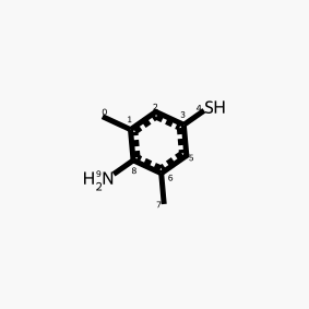 Cc1cc(S)cc(C)c1N